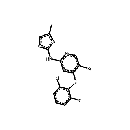 Cc1csc(Nc2cc(Sc3c(Cl)cccc3Cl)c(Br)cn2)n1